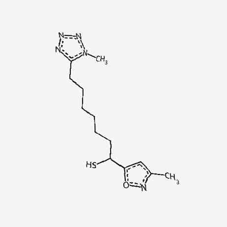 Cc1cc(C(S)CCCCCCc2nnnn2C)on1